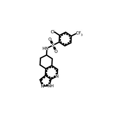 O=S(=O)(NC1CCc2c(cnc3[nH]ncc23)C1)c1ccc(C(F)(F)F)cc1Cl